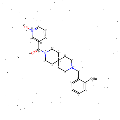 CC(C)COc1ccccc1CN1CCC2(CC1)CCN(C(=O)c1ccc[n+]([O-])c1)CC2